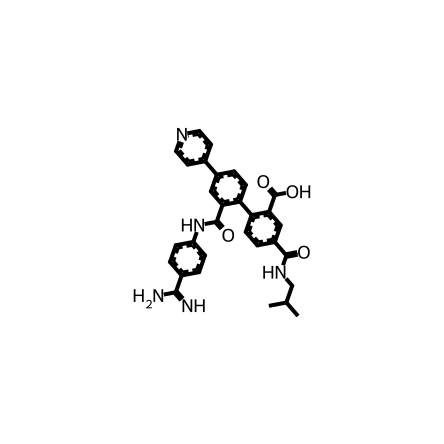 CC(C)CNC(=O)c1ccc(-c2ccc(-c3ccncc3)cc2C(=O)Nc2ccc(C(=N)N)cc2)c(C(=O)O)c1